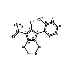 NC(=O)c1c(F)c(-c2cccnc2Cl)n2c1CCCC2